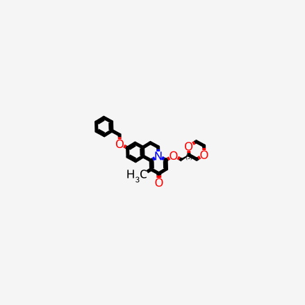 Cc1c2n(c(OC[C@@H]3COCCO3)cc1=O)CCc1cc(OCc3ccccc3)ccc1-2